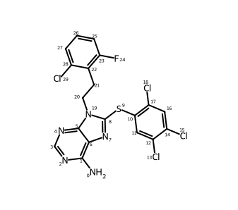 Nc1ncnc2c1nc(Sc1cc(Cl)c(Cl)cc1Cl)n2CCc1c(F)cccc1Cl